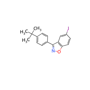 CC(C)(C)c1ccc(-c2noc3ccc(I)cc23)cc1